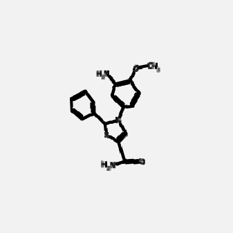 COc1ccc(N2C=C(C(N)=O)SC2c2ccccc2)cc1N